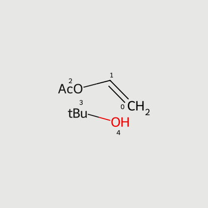 C=COC(C)=O.CC(C)(C)O